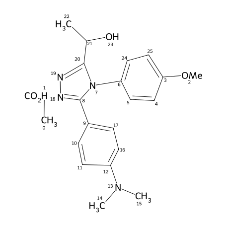 CC(=O)O.COc1ccc(-n2c(-c3ccc(N(C)C)cc3)nnc2C(C)O)cc1